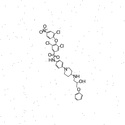 O=[N+]([O-])c1ccc(Oc2c(Cl)cc(S(=O)(=O)Nc3ccc(N4CCC(NCC(O)COc5ccccc5)CC4)cc3)cc2Cl)c(Cl)c1